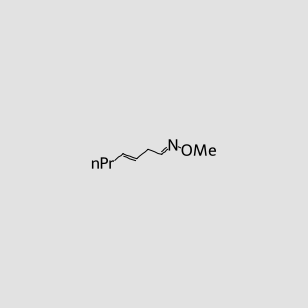 [CH2]CC/C=C/C/C=N/OC